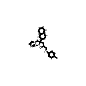 Cc1ccc(SCC2CC(Cn3ccnc3)(c3ccc4ccccc4c3)N(C)O2)cc1